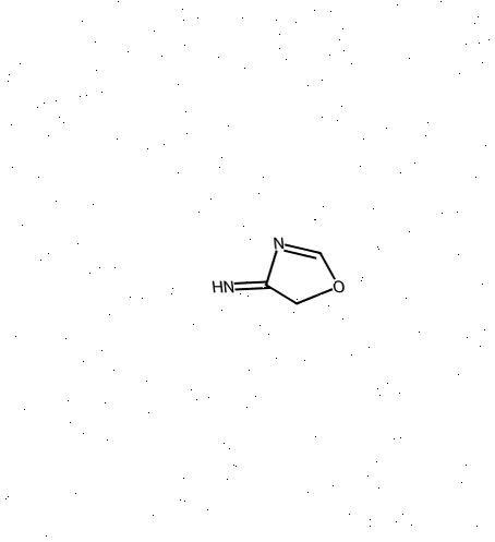 N=C1COC=N1